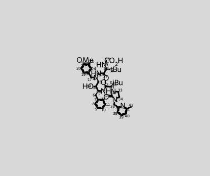 CC[C@H](C)[C@@H](C(=O)N[C@@H](Cc1ccccc1)[C@@H](O)CN(Cc1cccc(OC)c1)NC(=O)[C@@H](NC(=O)O)C(C)(C)C)N1CCN(Cc2cccc(C)n2)C1=O